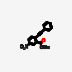 COC(=O)c1cc([N+](=O)[O-])ccc1C#Cc1ccccc1